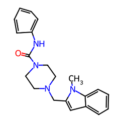 Cn1c(CN2CCN(C(=O)Nc3ccccc3)CC2)cc2ccccc21